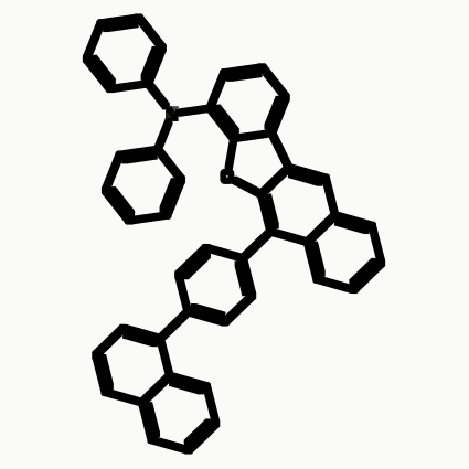 c1ccc(N(c2ccccc2)c2cccc3c2oc2c(-c4ccc(-c5cccc6ccccc56)cc4)c4ccccc4cc23)cc1